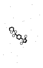 O=C(OC1CCCCO1)C1CCC(N2C(=O)C=CC2=O)CC1